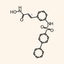 O=C(/C=C/c1cccc(NS(=O)(=O)c2ccc(-c3ccccc3)cc2)c1)NO